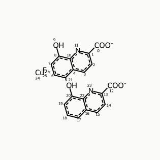 O=C([O-])c1ccc2cccc(O)c2n1.O=C([O-])c1ccc2cccc(O)c2n1.[Cu+2].[F]